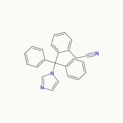 N#CCc1ccccc1C(c1ccccc1)(c1ccccc1)n1ccnc1